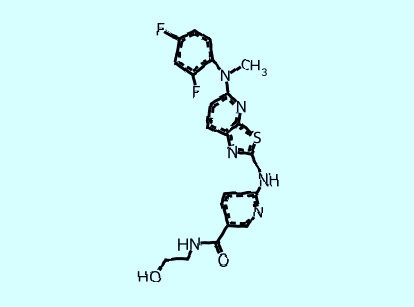 CN(c1ccc2nc(Nc3ccc(C(=O)NCCO)cn3)sc2n1)c1ccc(F)cc1F